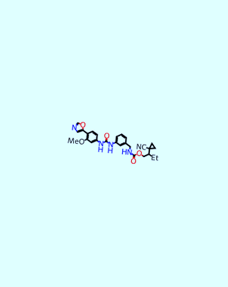 CCC(COC(=O)NCc1cccc(NC(=O)Nc2ccc(-c3cnco3)c(OC)c2)c1)C1(C#N)CC1